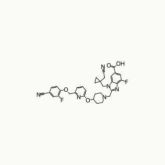 N#CCC1(Cn2c(CN3CCC(Oc4cccc(COc5ccc(C#N)cc5F)n4)CC3)nc3c(F)cc(C(=O)O)cc32)CC1